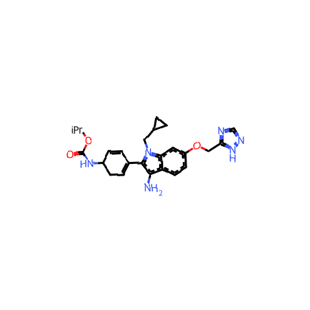 CC(C)OC(=O)NC1C=CC(c2c(N)c3ccc(OCc4ncn[nH]4)cc3n2CC2CC2)=CC1